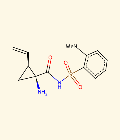 C=C[C@@H]1C[C@@]1(N)C(=O)NS(=O)(=O)c1ccccc1NC